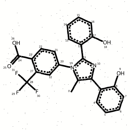 Cc1c(-c2ccccc2O)nc(-c2ccccc2O)n1-c1ccc(C(=O)O)c(C(F)(F)F)c1